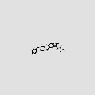 Cc1[nH]c2cc(Cl)c(C(=O)N3C[C@H](C)N(Cc4ccc(F)cc4)C[C@H]3C)cc2c1C(=O)C(=O)N(C)C